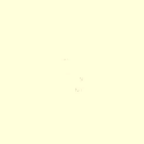 CC(C)Cc1c[nH]n(-c2ccccc2)c1=O